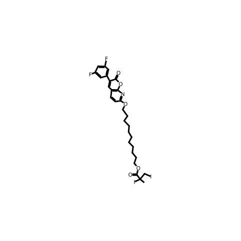 CC(I)(CI)C(=O)OCCCCCCCCCCCOc1ccc2cc(-c3cc(F)cc(F)c3)c(=O)oc2n1